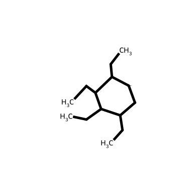 CCC1[CH]CC(CC)C(CC)C1CC